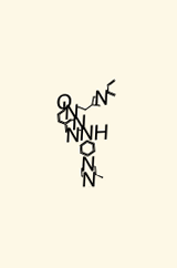 C=CC(=C)N1CC(CCn2c(=O)ccc3cnc(Nc4ccc(N5CCN(C)[C@H](C)C5)cc4)nc32)C1